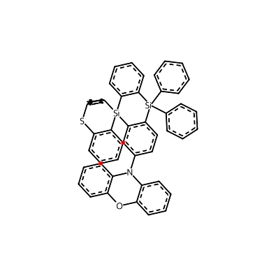 c1ccc([Si]2(c3ccccc3)c3ccccc3[Si]3(c4ccccc4Sc4ccccc43)c3cc(N4c5ccccc5Oc5ccccc54)ccc32)cc1